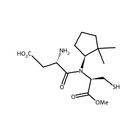 COC(=O)[C@H](CS)N(C(=O)[C@@H](N)CC(=O)O)[C@H]1CCCC1(C)C